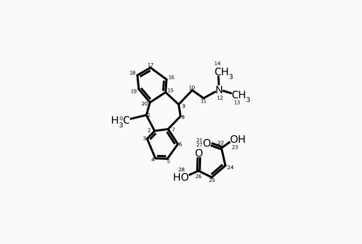 CC1c2ccccc2CC(CCN(C)C)c2ccccc21.O=C(O)/C=C\C(=O)O